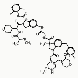 CNC(C)C(=O)NC(C(=O)N1Cc2cc(NC(=O)CNC(=O)C3(C)CN(C(=O)CN4C[C@@H](C)NC[C@@H]4CN4CCOCC4C)c4cc(Cc5ccc(F)cc5)ccc43)ccc2[C@H]1C(=O)Nc1c(F)cccc1F)C1CCOCC1